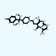 CCOC(OCC)(c1ccc(F)cc1)C1CCN(CCc2c(C)nc3scc(C)n3c2=O)CC1